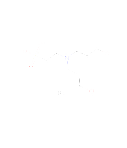 O=S(=O)([O-])CCN(CCCO)CCCO.[Na+]